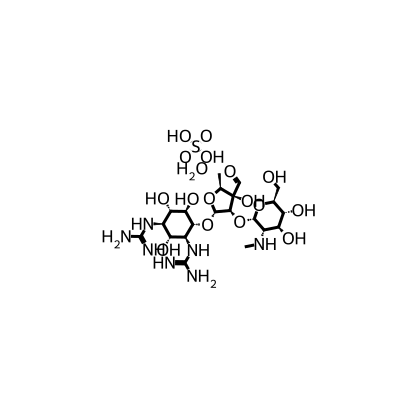 CN[C@@H]1[C@H](O[C@H]2[C@H](O[C@H]3[C@H](O)[C@@H](O)[C@H](NC(=N)N)[C@@H](O)[C@@H]3NC(=N)N)O[C@@H](C)[C@]2(O)C=O)O[C@@H](CO)[C@H](O)[C@H]1O.O.O=S(=O)(O)O